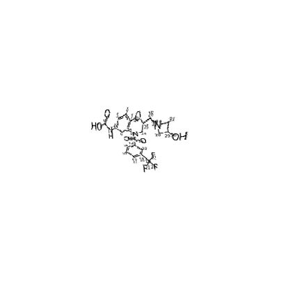 O=C(O)Nc1ccc2c(c1)N(S(=O)(=O)c1cccc(C(F)(F)F)c1)CC(CN1CC(O)C1)O2